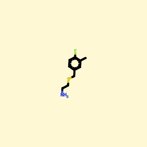 Cc1cc(CSCCN)ccc1F